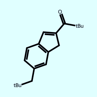 CC(C)(C)Cc1ccc2c(c1)CC(C(=O)C(C)(C)C)=C2